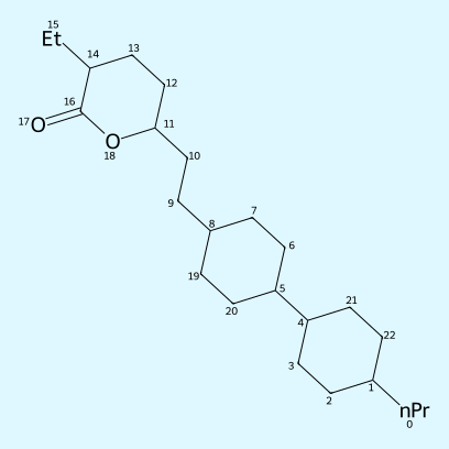 CCCC1CCC(C2CCC(CCC3CCC(CC)C(=O)O3)CC2)CC1